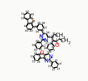 C=Cc1oc2cc(-c3nc(-c4ccccc4)nc4c3oc3ccccc34)ccc2c1/C(=C\C)c1cc(-c2cccc(-c3cccc4c3sc3ccccc34)c2)nc(-c2ccccc2)n1